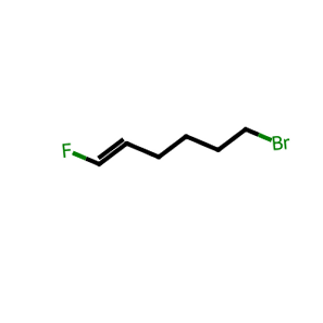 FC=CCCCCBr